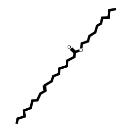 CCCCCCCCC=CCCCCCCCC(=O)OCCCCCCCCCC